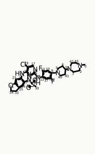 CN1CCN(C2CCN(c3cc(F)c(Nc4ncc(Cl)c(Nc5cc6c(cc5NS(C)(=O)=O)CCO6)n4)cc3F)CC2)CC1